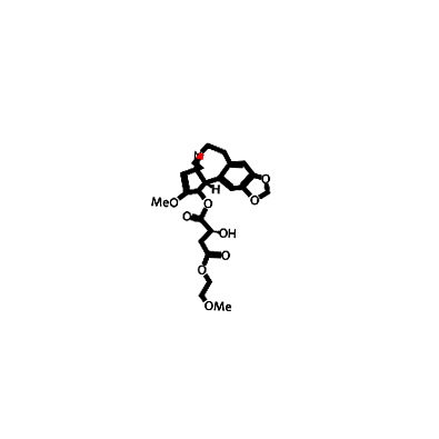 COCCOC(=O)C[C@@H](O)C(=O)OC1C(OC)=CC23CCCN2CCc2cc4c(cc2[C@H]13)OCO4